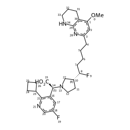 COc1cc(CCCCC(F)[C@@H]2CCN([C@H](C(=O)O)c3cc(F)cnc3C3CCC3)C2)nc2c1CCCN2